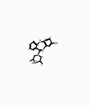 CC1CN(C2=Nc3cc(Cl)ccc3Oc3ccccc32)CC(C)N1